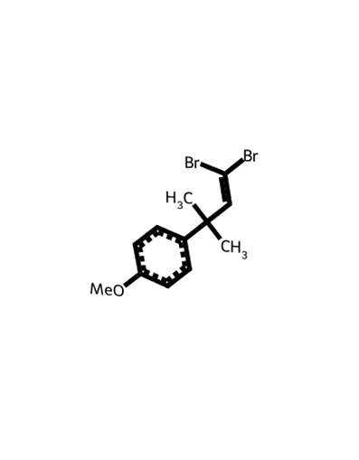 COc1ccc(C(C)(C)C=C(Br)Br)cc1